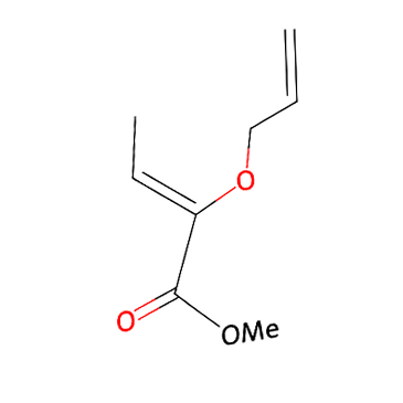 C=CCOC(=CC)C(=O)OC